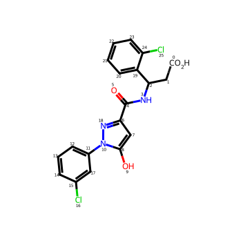 O=C(O)CC(NC(=O)c1cc(O)n(-c2cccc(Cl)c2)n1)c1ccccc1Cl